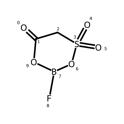 O=C1CS(=O)(=O)OB(F)O1